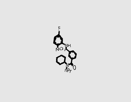 CCCN(C(=O)c1cccc(CNc2cc(F)ccc2[N+](=O)[O-])c1)C1CCCCC1